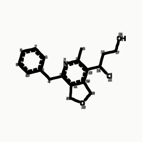 Cc1nc(Cc2ccccc2)c2c(c1C(Cl)CCO)COC2